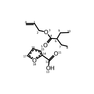 C=CCOC(=O)C(CC)CC.O=C(O)c1ccco1